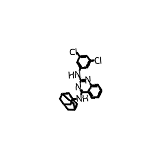 Clc1cc(Cl)cc(Nc2nc(NC34CC5CC(CC(C5)C3)C4)c3ccccc3n2)c1